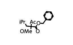 COC(CC(C)C)(C(C)=O)C(=O)OCc1ccccc1